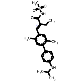 CC/C(=C\c1cc(C)c(-c2ccc(NC(C)C)cc2)cc1C)C(=O)NS(C)(=O)=O